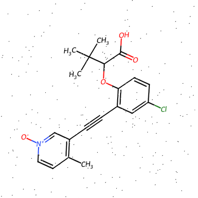 Cc1cc[n+]([O-])cc1C#Cc1cc(Cl)ccc1OC(C(=O)O)C(C)(C)C